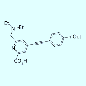 CCCCCCCCc1ccc(C#Cc2cc(CN(CC)CC)nc(C(=O)O)c2)cc1